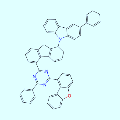 C1=CC(c2ccc3c(c2)c2ccccc2n3C2CC=CC3=C2Cc2cccc(-c4nc(-c5ccccc5)nc(-c5cccc6oc7ccccc7c56)n4)c23)=CCC1